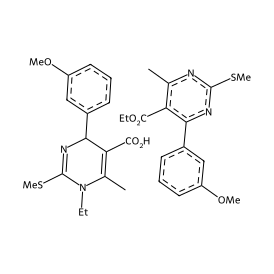 CCN1C(SC)=NC(c2cccc(OC)c2)C(C(=O)O)=C1C.CCOC(=O)c1c(C)nc(SC)nc1-c1cccc(OC)c1